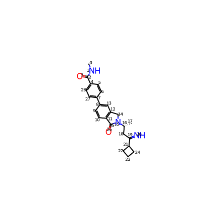 CNC(=O)c1ccc(-c2ccc3c(c2)CN([C@H](C)CC(=N)C2CCC2)C3=O)cc1